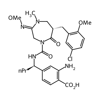 CCC[C@@H](NC(=O)N1C/C(=N/OC)N(C)C[C@H](Cc2cc(Cl)ccc2OC)C1=O)c1ccc(C(=O)O)c(N)c1